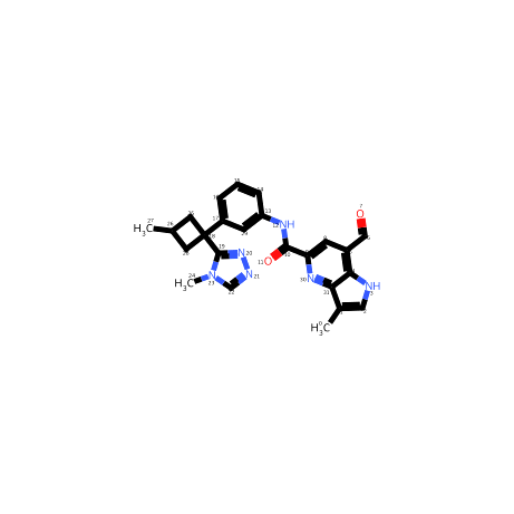 Cc1c[nH]c2c(C=O)cc(C(=O)Nc3cccc(C4(c5nncn5C)CC(C)C4)c3)nc12